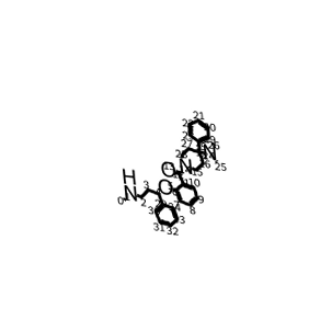 CNCCC(Oc1ccccc1C(=O)N1CCC(c2ccccc2)(N(C)C)CC1)c1ccccc1